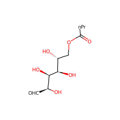 CCCC(=O)OC[C@@H](O)[C@@H](O)[C@H](O)[C@@H](O)C=O